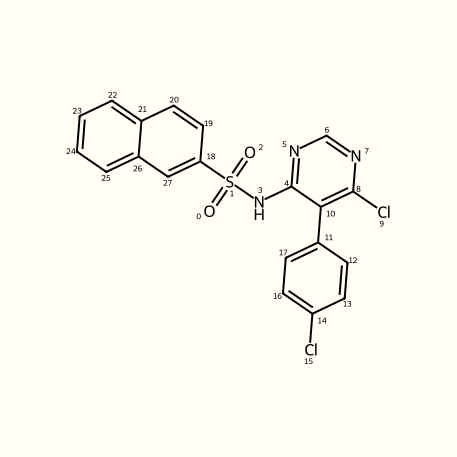 O=S(=O)(Nc1ncnc(Cl)c1-c1ccc(Cl)cc1)c1ccc2ccccc2c1